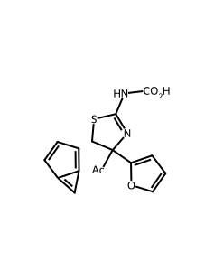 CC(=O)C1(c2ccco2)CSC(NC(=O)O)=N1.c1cc2cc-2c1